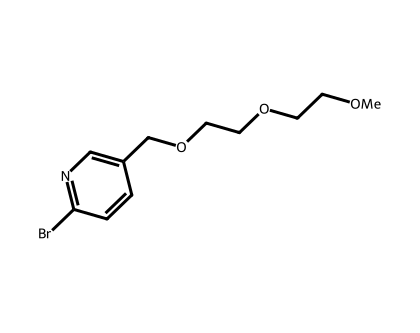 COCCOCCOCc1ccc(Br)nc1